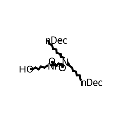 CCCCCCCCCCCCCCCCCCN(CCCCCCCCCCCCCCCCCC)C(=O)CCC(=O)NCCCCCCO